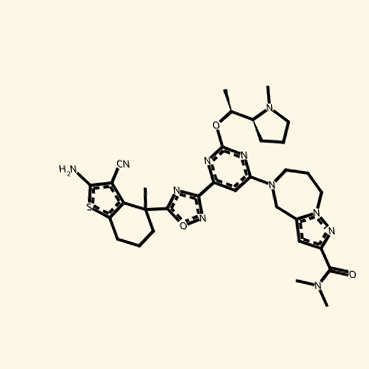 C[C@H](Oc1nc(-c2noc(C3(C)CCCc4sc(N)c(C#N)c43)n2)cc(N2CCCn3nc(C(=O)N(C)C)cc3C2)n1)[C@@H]1CCCN1C